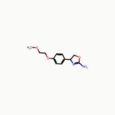 COCCOc1ccc(C2COC(N)=N2)cc1